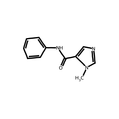 Cn1cncc1C(=O)Nc1ccccc1